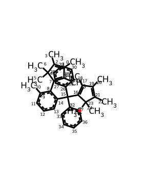 CC1=C(C)C(C)(C)C(c2c(C)cccc2C(C2=C(C)C(C)=C(C)C2(C)C)(c2ccccc2)c2ccccc2)=C1C